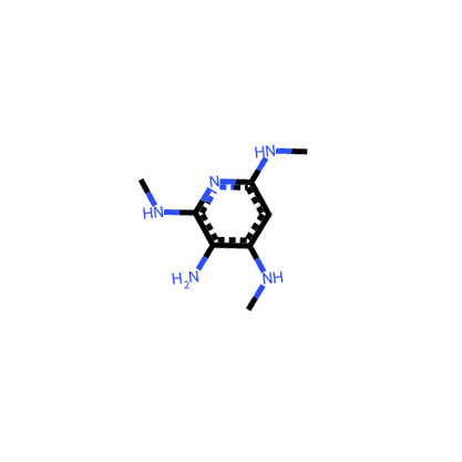 CNc1cc(NC)c(N)c(NC)n1